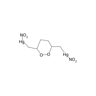 O=[N+]([O-])[Hg][CH2]C1CCC([CH2][Hg][N+](=O)[O-])OO1